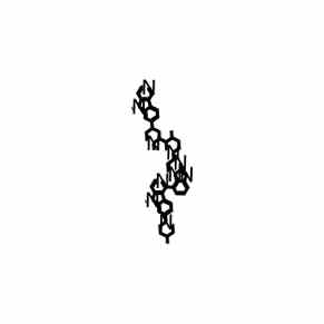 CC1CCN(c2ccc3c4c(-c5cccc6nc7nc(N8CCC(C)C(C9CC(c%10ccc%11c%12cnccc%12n(C)c%11c%10)CCN9C)C8)ccn7c56)nccc4n(C)c3c2)CC1